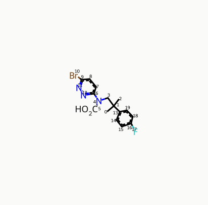 CC(C)(CN(C(=O)O)c1ccc(Br)nn1)c1ccc(F)cc1